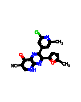 Cc1cc(-c2nc3c(=O)c(C#N)c[nH]c3nc2-c2ccc(C)o2)cc(Cl)n1